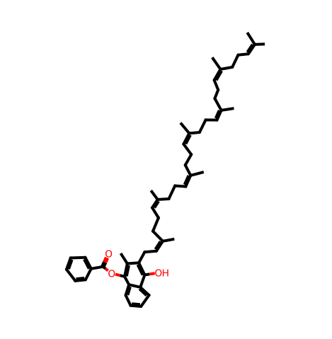 CC(C)=CCCC(C)=CCCC(C)=CCCC(C)=CCCC(C)=CCCC(C)=CCCC(C)=CCc1c(C)c(OC(=O)c2ccccc2)c2ccccc2c1O